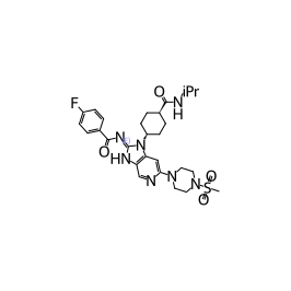 CC(C)NC(=O)[C@H]1CC[C@@H](n2/c(=N/C(=O)c3ccc(F)cc3)[nH]c3cnc(N4CCN(S(C)(=O)=O)CC4)cc32)CC1